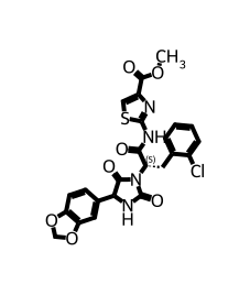 COC(=O)c1csc(NC(=O)[C@H](Cc2ccccc2Cl)N2C(=O)NC(c3ccc4c(c3)OCO4)C2=O)n1